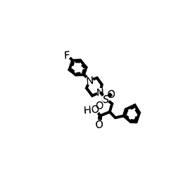 O=C(O)C(Cc1ccccc1)CS(=O)(=O)N1CCN(c2ccc(F)cc2)CC1